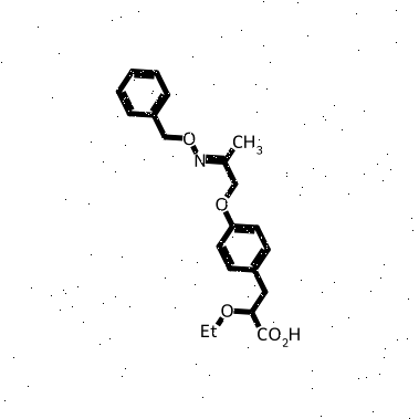 CCOC(Cc1ccc(OCC(C)=NOCc2ccccc2)cc1)C(=O)O